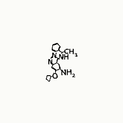 CC(Nc1ncnc2cc(OC3CCC3)c(N)cc12)c1ccccc1